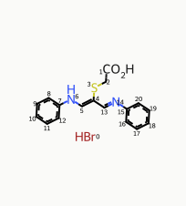 Br.O=C(O)CSC(=C\Nc1ccccc1)/C=N/c1ccccc1